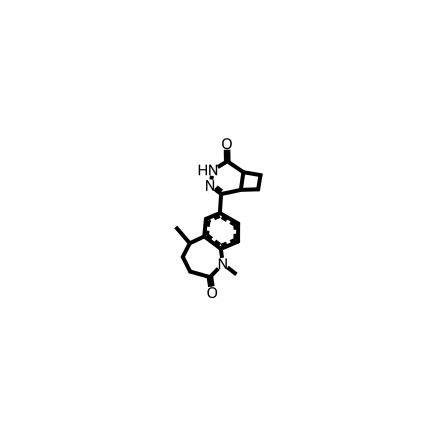 CC1CCC(=O)N(C)c2ccc(C3=NNC(=O)C4CCC34)cc21